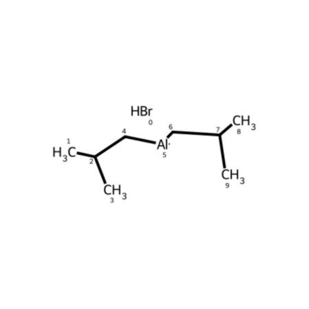 Br.CC(C)[CH2][Al][CH2]C(C)C